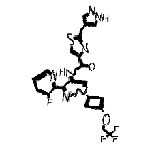 O=C(Nc1cn([C@H]2C[C@@H](OCC(F)(F)F)C2)nc1-c1ncccc1F)c1csc(-c2cn[nH]c2)n1